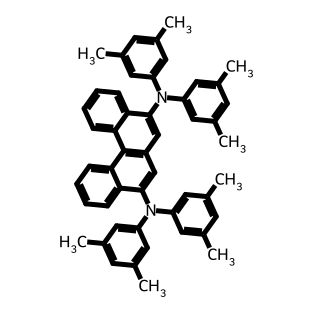 Cc1cc(C)cc(N(c2cc(C)cc(C)c2)c2cc3cc(N(c4cc(C)cc(C)c4)c4cc(C)cc(C)c4)c4ccccc4c3c3ccccc23)c1